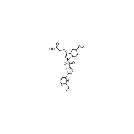 CCOc1ccc2c(c1)c(CCC(=O)O)cn2S(=O)(=O)c1ccc(-c2ccnc(SC)n2)s1